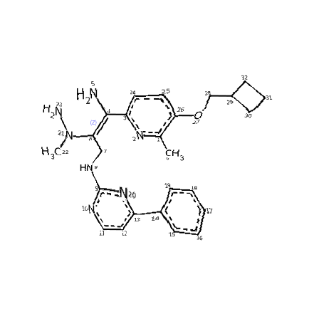 Cc1nc(/C(N)=C(\CNc2nccc(-c3ccccc3)n2)N(C)N)ccc1OCC1CCC1